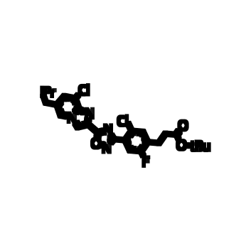 CC(C)Cc1cc(Cl)c2nc(-c3nc(-c4cc(F)c(CCC(=O)OC(C)(C)C)cc4Cl)no3)cn2c1